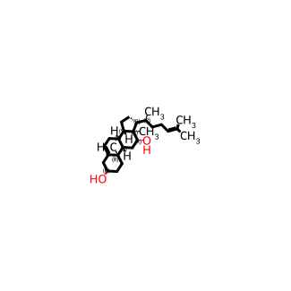 CC(C)=CCC[C@@H](C)[C@H]1CC[C@H]2[C@@H]3CC=C4C[C@H](O)CC[C@]4(C)[C@H]3C[C@@H](O)[C@]12C